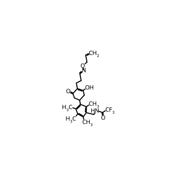 C=CCON=CCCC1=C(O)CC(c2c(C)c(C)c(C)c(CNC(=O)C(F)(F)F)c2C)CC1=O